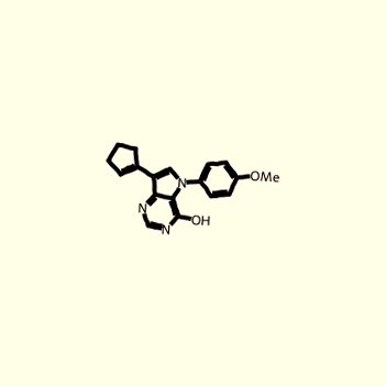 COc1ccc(-n2cc(C3=CCCC3)c3ncnc(O)c32)cc1